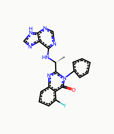 C[C@@H](Nc1ncnc2[nH]cnc12)c1nc2cccc(F)c2c(=O)n1-c1ccccc1